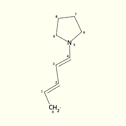 [CH2]C=CC=CN1CCCC1